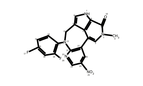 Cn1cc2c3c(c[nH]c3c1=O)CN(c1ccc(F)cc1F)c1ncc([N+](=O)[O-])cc1-2